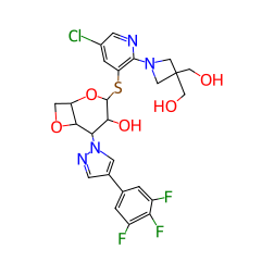 OCC1(CO)CN(c2ncc(Cl)cc2SC2OC3COC3C(n3cc(-c4cc(F)c(F)c(F)c4)cn3)C2O)C1